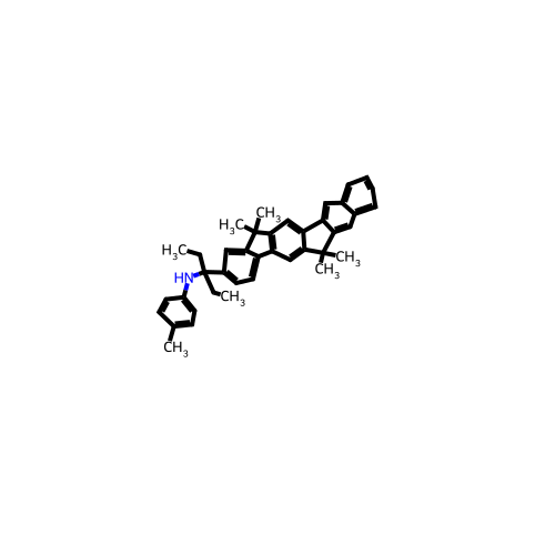 CCC(CC)(Nc1ccc(C)cc1)c1ccc2c(c1)C(C)(C)c1cc3c(cc1-2)C(C)(C)c1cc2ccccc2cc1-3